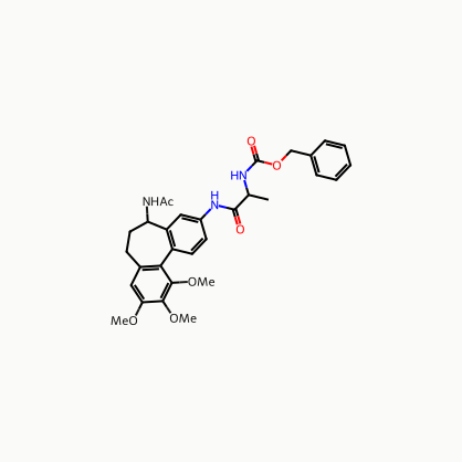 COc1cc2c(c(OC)c1OC)-c1ccc(NC(=O)C(C)NC(=O)OCc3ccccc3)cc1C(NC(C)=O)CC2